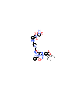 CC1(C)OC(=O)c2ccc(Nc3ncc(-c4nnc(CCN5CCC(CNc6cccc7c6C(=O)N(C6CCC(=O)NC6=O)C7=O)CC5)o4)c(N[C@H](CO)c4ccccc4)n3)cc21